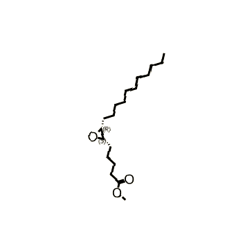 CCCCCCCCCCC[C@H]1O[C@H]1CCCCC(=O)OC